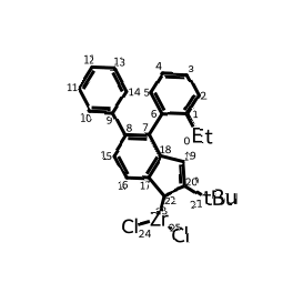 CCc1ccccc1-c1c(-c2ccccc2)ccc2c1C=C(C(C)(C)C)[CH]2[Zr]([Cl])[Cl]